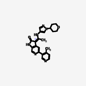 C/C(Nc1cnn(C2CCOCC2)c1)=C1/C(=O)Nc2cnc(-c3cnccc3C)cc21